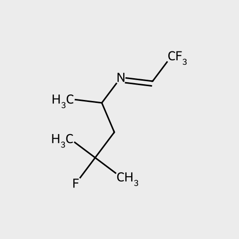 CC(CC(C)(C)F)/N=C/C(F)(F)F